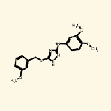 COc1cccc(CSc2nc(Nc3ccc(OC)c(OC)c3)n[nH]2)c1